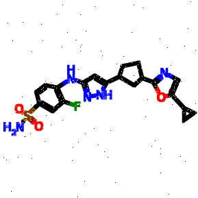 NS(=O)(=O)c1ccc(Nc2cc(C3CCC(c4ncc(C5CC5)o4)C3)[nH]n2)c(F)c1